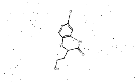 O=C1Nc2cc(Cl)ncc2OC1CCO